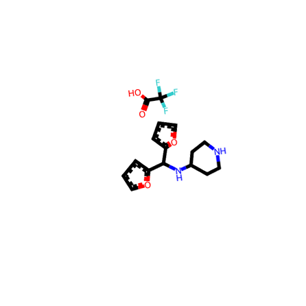 O=C(O)C(F)(F)F.c1coc(C(NC2CCNCC2)c2ccco2)c1